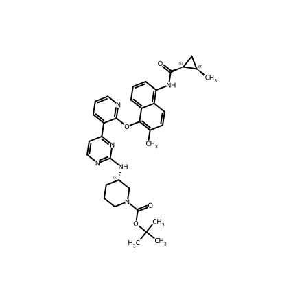 Cc1ccc2c(NC(=O)[C@H]3C[C@H]3C)cccc2c1Oc1ncccc1-c1ccnc(N[C@H]2CCCN(C(=O)OC(C)(C)C)C2)n1